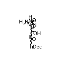 CCCCCCCCCCCCCC(=O)OCCC(CO)Cn1cnc2c(=O)[nH]c(N)nc21